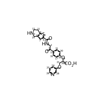 O=C(CNC(=O)c1cc2c(s1)CCNC2)c1ccc(OC(COc2cccnc2)C(=O)O)cc1